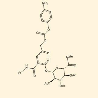 COC(=O)[C@H]1O[C@@H](Oc2ccc(COC(=O)Oc3ccc([N+](=O)[O-])cc3)cc2C(=O)NC(C)C)[C@H](OC(C)=O)[C@@H](OC(C)=O)[C@@H]1OC(C)=O